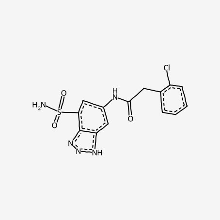 NS(=O)(=O)c1cc(NC(=O)Cc2ccccc2Cl)cc2[nH]nnc12